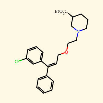 CCOC(=O)C1CCCN(CCOC/C=C(/c2ccccc2)c2cccc(Cl)c2)C1